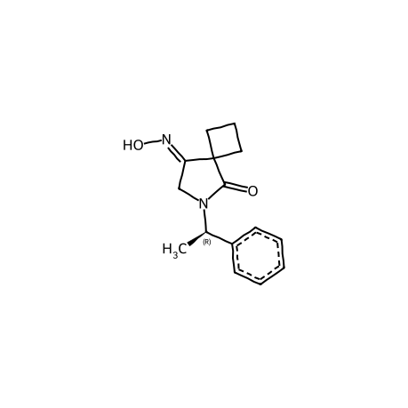 C[C@H](c1ccccc1)N1CC(=NO)C2(CCC2)C1=O